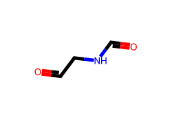 O=CCNC=O